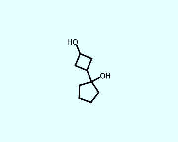 OC1CC(C2(O)CCCC2)C1